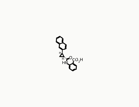 O=C(O)c1ccccc1NC(=O)[C@@H]1C[C@H]1c1ccc2ccccc2c1